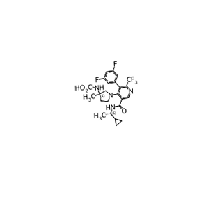 C[C@H](NC(=O)c1cnc(C(F)(F)F)c(-c2cc(F)cc(F)c2)c1N1CC[C@](C)(NC(=O)O)C1)C1CC1